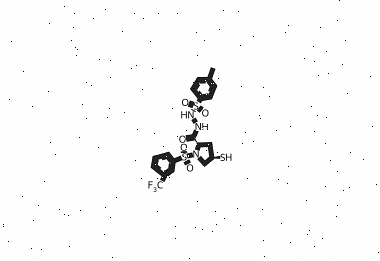 Cc1ccc(S(=O)(=O)NNC(=O)[C@@H]2C[C@@H](S)CN2S(=O)(=O)c2cccc(C(F)(F)F)c2)cc1